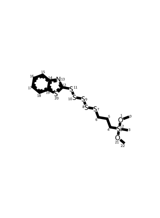 CO[Si](C)(CCCSSSSSc1nc2ccccc2s1)OC